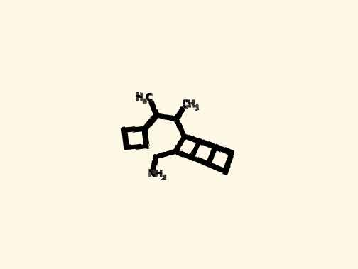 CC(C1CCC1)C(C)C1C(CN)C2C3CCC3C12